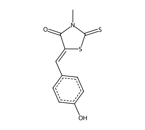 CN1C(=O)C(=Cc2ccc(O)cc2)SC1=S